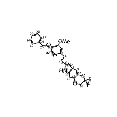 COc1cc(CSc2nc3cc4c(cc3[nH]2)OCC(F)(F)O4)ncc1OCc1ccccc1